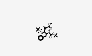 COC(=O)C1CC1C(O[Si](C)(C)C(C)(C)C)C(Cc1ccccc1)NC(=O)OC(C)(C)C